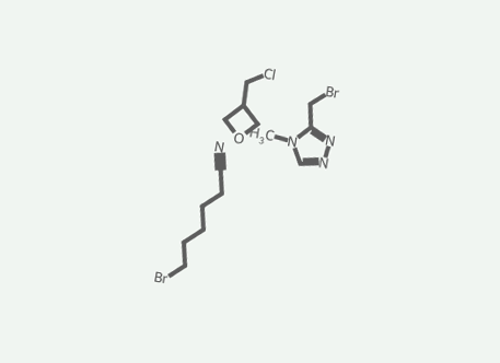 ClCC1COC1.Cn1cnnc1CBr.N#CCCCCCBr